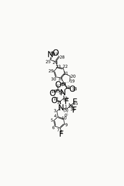 C[C@H](N(Cc1ccc(F)cc1)C(=O)CN1C(=O)O[C@]2(CCc3cc(-c4cnoc4)ccc32)C1=O)C(F)(F)F